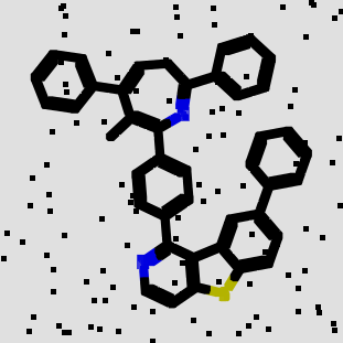 CC1=C(c2ccc(-c3nccc4sc5ccc(-c6ccccc6)cc5c34)cc2)N=C(c2ccccc2)CC=C1c1ccccc1